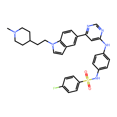 CN1CCC(CCn2ccc3cc(-c4cc(Nc5ccc(NS(=O)(=O)c6ccc(F)cc6)cc5)ncn4)ccc32)CC1